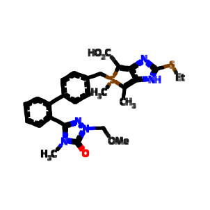 CCSc1nc2c([nH]1)=C(C)S(C)(Cc1ccc(-c3ccccc3-c3nn(COC)c(=O)n3C)cc1)C=2C(=O)O